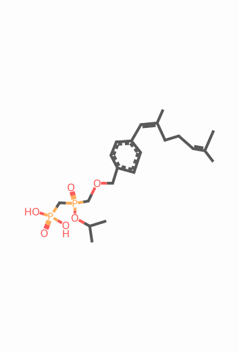 CC(C)=CCCC(C)=Cc1ccc(COCP(=O)(CP(=O)(O)O)OC(C)C)cc1